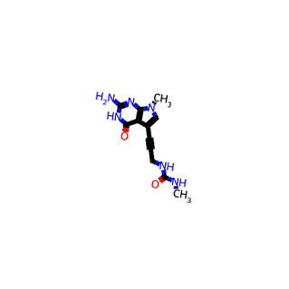 CNC(=O)NCC#Cc1cn(C)c2nc(N)[nH]c(=O)c12